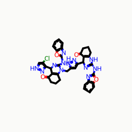 O=C1CCCC2=C1C(c1cc(CN3C(Nc4nc5ccccc5o4)=NC(c4n[nH]cc4Cl)C4=C3CCCC4=O)[nH]n1)N=C(Nc1nc3ccccc3o1)N2